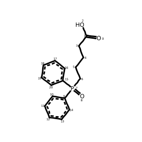 O=C(O)CCCCP(=O)(c1ccccc1)c1ccccc1